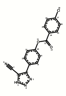 N#Cc1[nH]nnc1-c1ccc(OC(=O)c2ccc(Cl)cc2)cc1